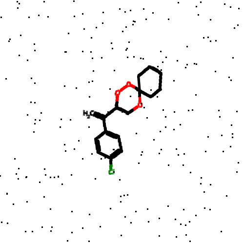 C=C(c1ccc(Cl)cc1)C1COC2(CCCCC2)OO1